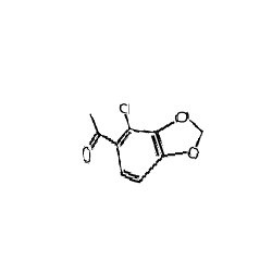 CC(=O)c1ccc2c(c1Cl)OCO2